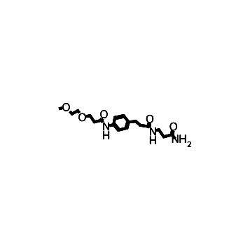 COCCOCCC(=O)Nc1ccc(CCC(=O)NCCC(N)=O)cc1